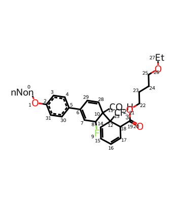 CCCCCCCCCOc1ccc(C2=CC(F)C(C(=O)O)(C3(C(F)(F)F)C=CC=CC3C(=O)OCCCCOCC)C=C2)cc1